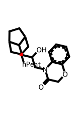 CCCCCC1CC2CCC(C1)C2CC(O)CN1C(=O)COc2ccccc21